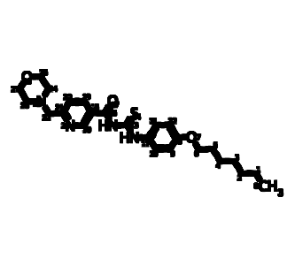 CCCCCCCOc1ccc(NC(=S)NC(=O)c2ccc(CN3CCOCC3)nc2)cc1